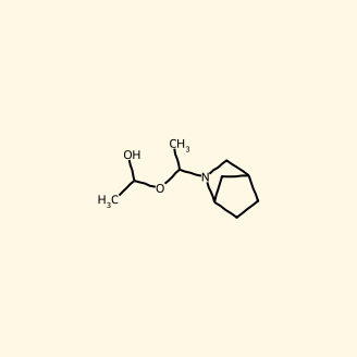 CC(O)OC(C)N1CC2CCC1C2